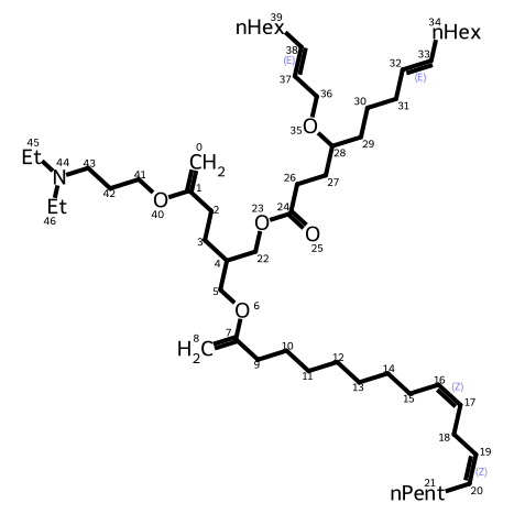 C=C(CCC(COC(=C)CCCCCCC/C=C\C/C=C\CCCCC)COC(=O)CCC(CCC/C=C/CCCCCC)OC/C=C/CCCCCC)OCCCN(CC)CC